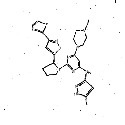 Cc1cc(Nc2cc(N3CCN(C)CC3)nc(N3CCCC3c3cc(-c4nccs4)no3)n2)n[nH]1